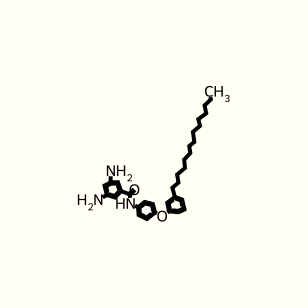 CCCCCCCCCCCCCCCc1cccc(Oc2ccc(NC(=O)c3cc(N)cc(N)c3)cc2)c1